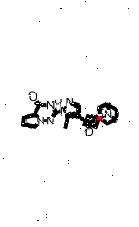 Cc1c(C(=O)N2CC3CC(C2)N3C2CCC2)cnn1-c1nn2cccc2c(=O)[nH]1